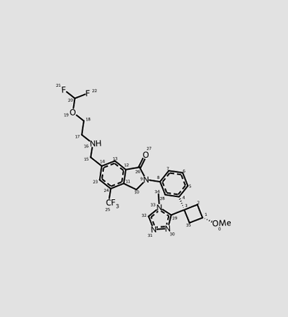 CO[C@H]1C[C@](c2cccc(N3Cc4c(cc(CNCCOC(F)F)cc4C(F)(F)F)C3=O)c2)(c2nncn2C)C1